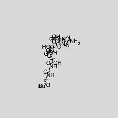 CC[C@@H](C)C(=O)SCCNC(=O)CCNC(=O)C(O)C(C)(C)COP(=O)(O)OP(=O)(O)OC[C@H]1O[C@@H](n2cnc3c(N)ncnc32)[C@H](O)[C@@H]1OP(=O)(O)O